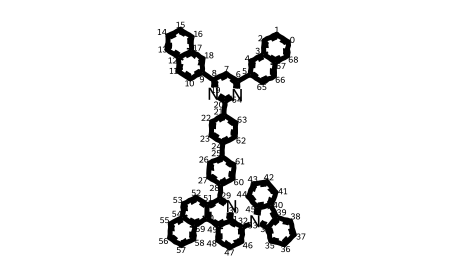 c1ccc2cc(-c3cc(-c4ccc5ccccc5c4)nc(-c4ccc(-c5ccc(-c6nc7c(-n8c9ccccc9c9ccccc98)cccc7c7c6ccc6ccccc67)cc5)cc4)n3)ccc2c1